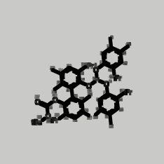 Cc1cc(OP(Oc2cc(C)c(C)cc2C(C)C)Oc2c(C(C)C)cc(C)c(C)c2-c2c(C)c(C)cc(C(C)C)c2OC(=O)OC(C)(C)C)c(C(C)C)cc1C